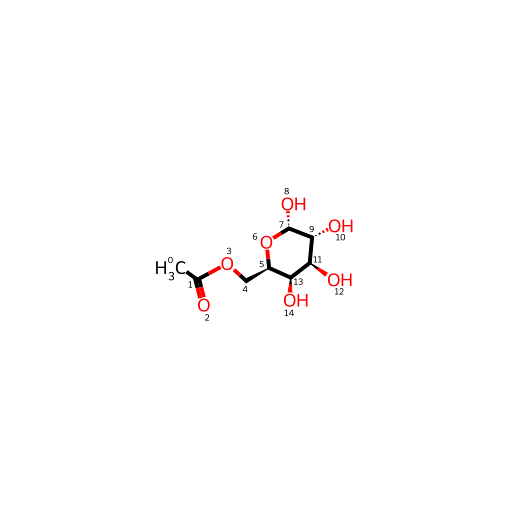 CC(=O)OC[C@H]1O[C@H](O)[C@H](O)[C@@H](O)[C@H]1O